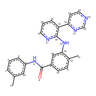 Cc1cccc(NC(=O)c2ccc(C)c(Nc3ncccc3-c3ccncn3)c2)c1